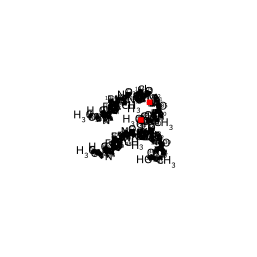 COCCn1ncc(-c2ccc(-c3cnc(C(=O)Nc4ccc(C(=O)N5CCN(C(=O)C6CC[N+](C)(CC(=O)O)CC6)CC5)c(Cl)c4)n3C)c(F)c2F)c1C.COCCn1ncc(-c2ccc(-c3cnc(C(=O)Nc4ccc(C(=O)N5CCN(C(=O)C6CC[N+](C)(CC(=O)OC(C)(C)C)CC6)CC5)c(Cl)c4)n3C)c(F)c2F)c1C